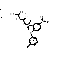 CC(C)NC(=O)NS(=O)(=O)c1cc([N+](=O)[O-])ccc1Oc1cccc(I)c1